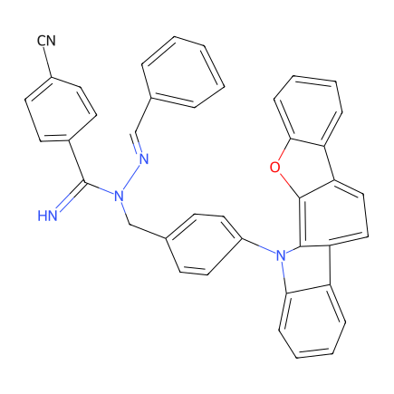 N#Cc1ccc(C(=N)N(Cc2ccc(-n3c4ccccc4c4ccc5c6ccccc6oc5c43)cc2)/N=C/c2ccccc2)cc1